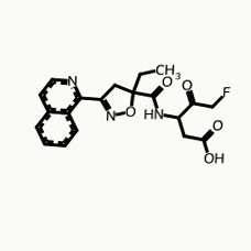 CCC1(C(=O)NC(CC(=O)O)C(=O)CF)CC(c2nccc3ccccc23)=NO1